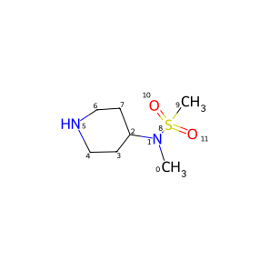 CN(C1CCNCC1)S(C)(=O)=O